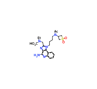 CCN(Cc1nc2c(N)nc3ccccc3c2n1CCCCN(C(C)=O)C1CS(=O)(=O)C1)C(=O)O